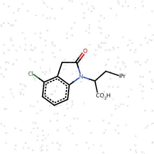 CC(C)CC(C(=O)O)N1C(=O)Cc2c(Cl)cccc21